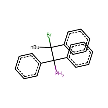 CCCCC(Br)(c1ccccc1)C(P)(c1ccccc1)c1ccccc1